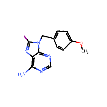 COc1ccc(Cn2c(I)nc3c(N)ncnc32)cc1